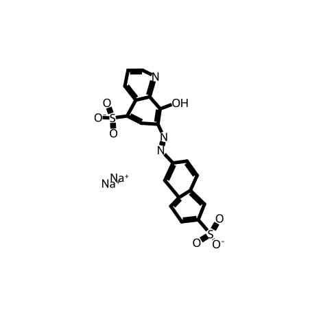 O=S(=O)([O-])c1ccc2cc(N=Nc3cc(S(=O)(=O)[O-])c4cccnc4c3O)ccc2c1.[Na+].[Na+]